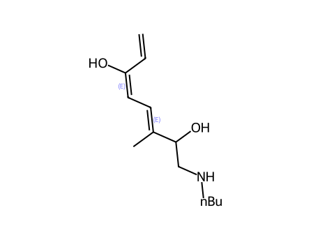 C=C/C(O)=C\C=C(/C)C(O)CNCCCC